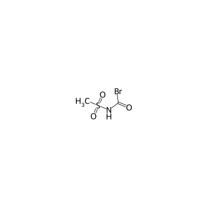 CS(=O)(=O)NC(=O)Br